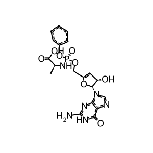 C[C@H](N[P@](=O)(OCC1=C[C@@H](O)[C@H](n2cnc3c(=O)[nH]c(N)nc32)O1)Oc1ccccc1)C(=O)O